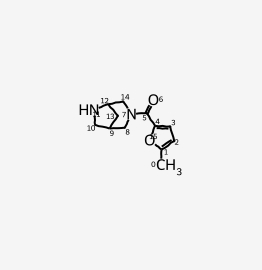 Cc1ccc(C(=O)N2CC3CNC(C3)C2)o1